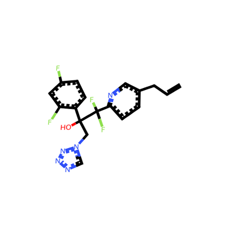 C=CCc1ccc(C(F)(F)C(O)(Cn2cnnn2)c2ccc(F)cc2F)nc1